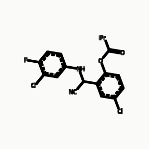 CC(C)C(=O)Oc1ccc(Cl)cc1C(C#N)Nc1ccc(F)c(Cl)c1